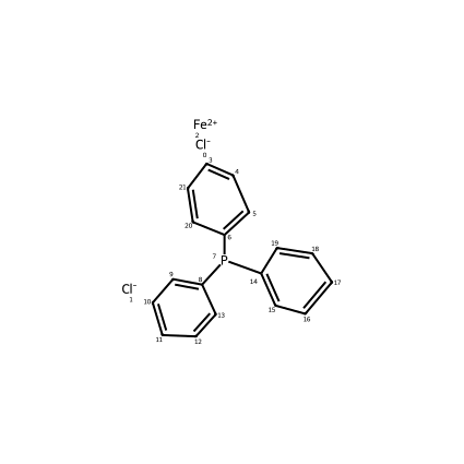 [Cl-].[Cl-].[Fe+2].c1ccc(P(c2ccccc2)c2ccccc2)cc1